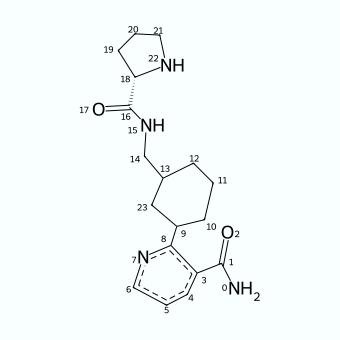 NC(=O)c1cccnc1C1CCCC(CNC(=O)[C@@H]2CCCN2)C1